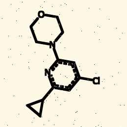 Clc1cc(C2CC2)nc(N2CCOCC2)c1